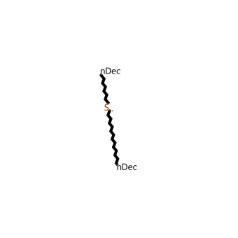 CCCCCCCCCCCCCCCCCCCCCCC[CH]SCCCCCCCCCCCCCCCCCC